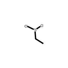 C[CH2][Ti]([Cl])[Cl]